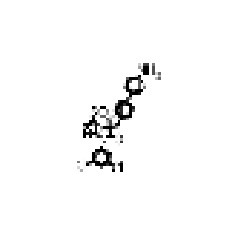 C[C@@]1(Cc2ccc(-c3ccc(N)nc3)cc2)C(=O)N(c2cc(Cl)cc(Cl)c2)c2ncc(S(=O)(=O)O)n21